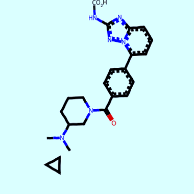 C1CC1.CN(C)C1CCCN(C(=O)c2ccc(-c3cccc4nc(NC(=O)O)nn34)cc2)C1